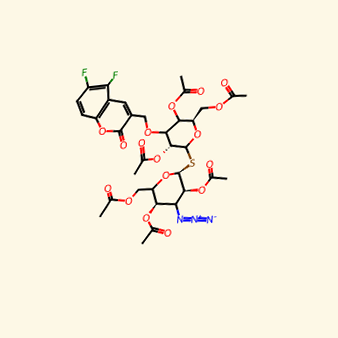 CC(=O)OCC1O[C@@H](SC2O[C@H](COC(C)=O)C(OC(C)=O)C(OCc3cc4c(F)c(F)ccc4oc3=O)[C@H]2OC(C)=O)[C@@H](OC(C)=O)C(N=[N+]=[N-])[C@H]1OC(C)=O